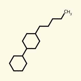 CCCCCC1CC[C](C2CCCCC2)CC1